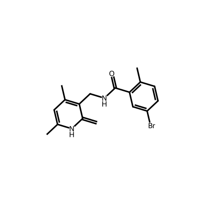 C=C1NC(C)=CC(C)=C1CNC(=O)c1cc(Br)ccc1C